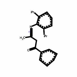 C/C(CC(=O)c1ccccc1)=N/c1c(C(C)C)cccc1C(C)C